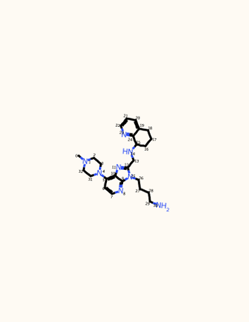 CN1CCN(c2ccnc3c2nc(CNC2CCCc4cccnc42)n3CCCCN)CC1